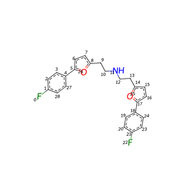 Fc1ccc(-c2ccc(CCNCCc3ccc(-c4ccc(F)cc4)o3)o2)cc1